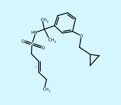 CC/C=C/CS(=O)(=O)NC(C)(C)c1cccc(OCC2CC2)c1